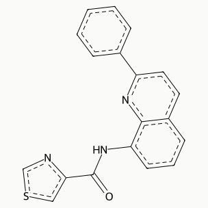 O=C(Nc1cccc2ccc(-c3ccccc3)nc12)c1cscn1